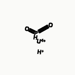 O=[PH-]=O.[H+].[U+4]